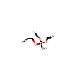 CO[Si](OCC(C)=O)(OCC(C)=O)OCC(C)=O